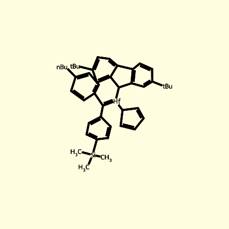 CCCCc1ccc([C](c2ccc([Si](C)(C)C)cc2)=[Hf]([CH]2C=CC=C2)[CH]2c3cc(C(C)(C)C)ccc3-c3ccc(C(C)(C)C)cc32)cc1